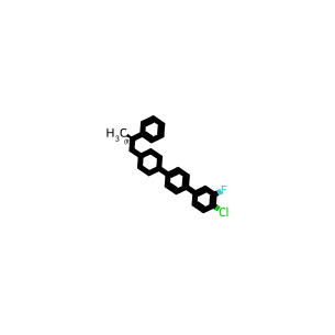 C[C@H](CC1CCC(c2ccc(-c3ccc(Cl)c(F)c3)cc2)CC1)c1ccccc1